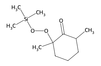 CC1CCCC(C)(OO[Si](C)(C)C)C1=O